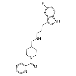 O=C(c1ccccn1)N1CCC(CNCCCc2c[nH]c3ccc(F)cc23)CC1